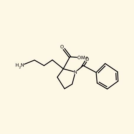 COC(=O)C1(CCCN)CCCN1C(=O)c1ccccc1